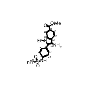 CCCS(=O)(=O)Nc1ccc(-c2c(N)c3ccc(C(=O)OC)cc3n2CC)cc1